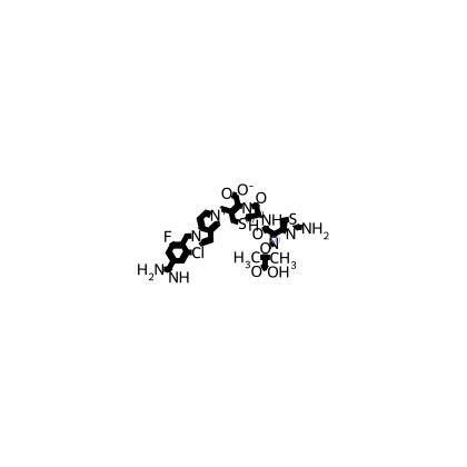 CC(C)(O/N=C(\C(=O)N[C@@H]1C(=O)N2C(C(=O)[O-])=C(C[n+]3ccc4c(ccn4Cc4c(F)cc(C(=N)N)cc4Cl)c3)CS[C@H]12)c1csc(N)n1)C(=O)O